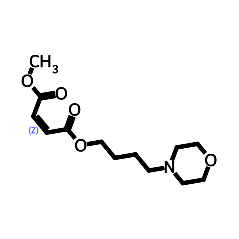 COC(=O)/C=C\C(=O)OCCCCN1CCOCC1